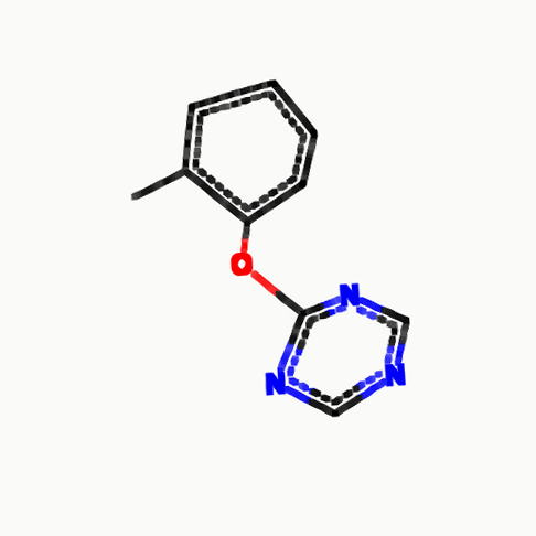 Cc1ccccc1Oc1ncncn1